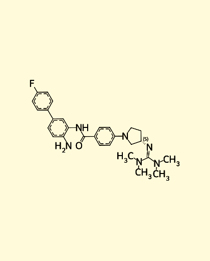 CN(C)C(=N[C@H]1CCN(c2ccc(C(=O)Nc3cc(-c4ccc(F)cc4)ccc3N)cc2)C1)N(C)C